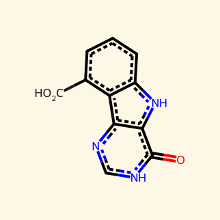 O=C(O)c1cccc2[nH]c3c(=O)[nH]cnc3c12